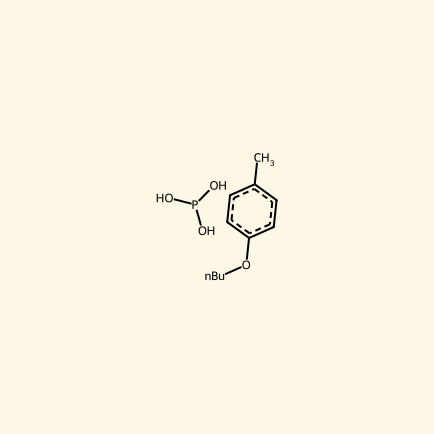 CCCCOc1ccc(C)cc1.OP(O)O